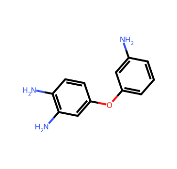 Nc1cccc(Oc2ccc(N)c(N)c2)c1